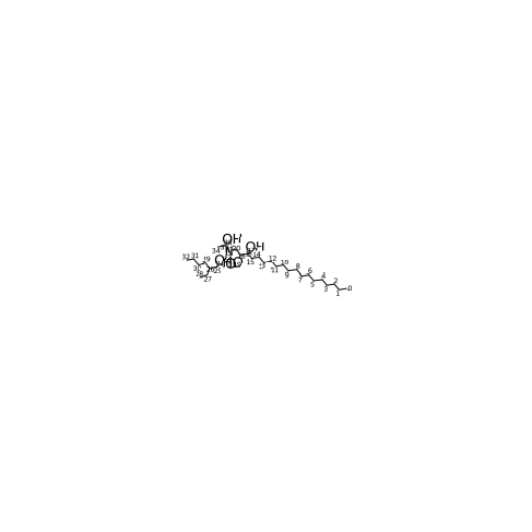 CCCCCCCCCCCCCCCCC(O)C(O)CN(C(=O)OCC(CC)CCCC)C(C)O